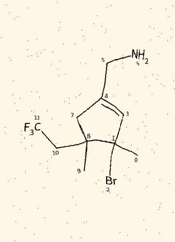 CC1(Br)C=C(CN)CC1(C)CC(F)(F)F